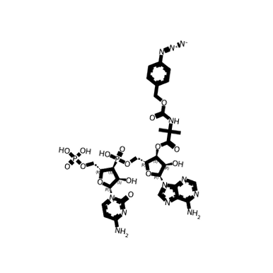 CC(C)(NC(=O)OCc1ccc(N=[N+]=[N-])cc1)C(=O)O[C@H]1[C@@H](O)[C@H](n2cnc3c(N)ncnc32)O[C@@H]1COP(=O)(O)[C@H]1[C@@H](O)[C@H](n2ccc(N)nc2=O)O[C@@H]1COP(=O)(O)O